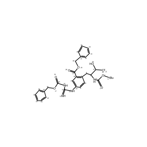 CC(C)(C)OC(=O)NC(Cc1ccc(NC(=N)NC(=O)OCc2ccccc2)cc1C(=O)OCc1ccccc1)C(O)C(F)(F)F